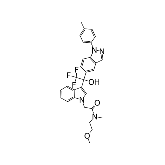 COCCN(C)C(=O)Cn1cc(C(O)(c2ccc3c(cnn3-c3ccc(C)cc3)c2)C(F)(F)F)c2ccccc21